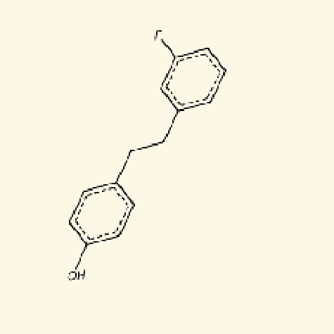 Oc1ccc(CCc2cccc(F)c2)cc1